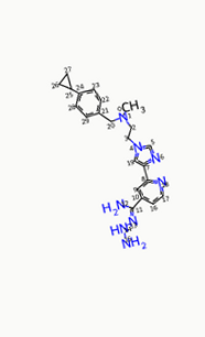 CN(CCn1cnc(-c2cc(/C(N)=N/NN)ccn2)c1)Cc1ccc(C2CC2)cc1